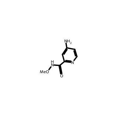 CONC(=O)c1cc(N)ccn1